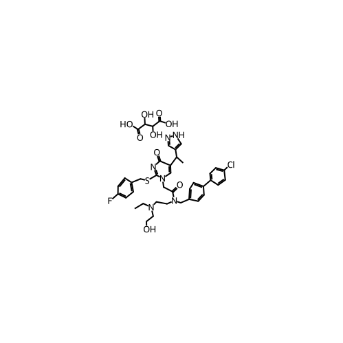 CCN(CCO)CCN(Cc1ccc(-c2ccc(Cl)cc2)cc1)C(=O)Cn1cc(C(C)c2cn[nH]c2)c(=O)nc1SCc1ccc(F)cc1.O=C(O)C(O)C(O)C(=O)O